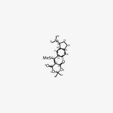 CSC(=C1C(=O)OC(C)(C)OC1=O)c1ccc2c(c1)C(N(C)C)CC2